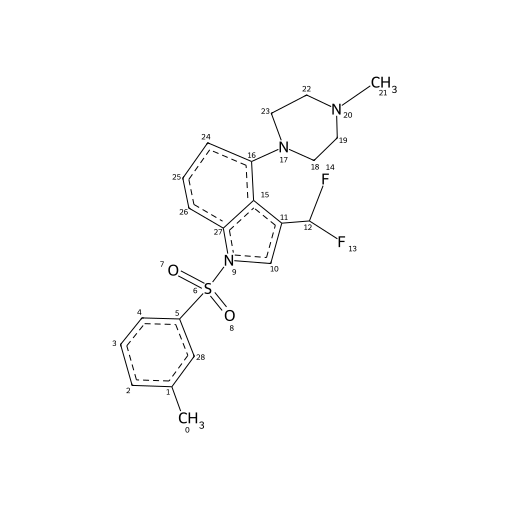 Cc1cccc(S(=O)(=O)n2cc(C(F)F)c3c(N4CCN(C)CC4)cccc32)c1